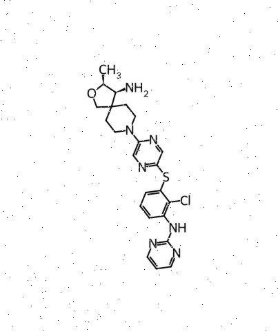 C[C@@H]1OCC2(CCN(c3cnc(Sc4cccc(Nc5ncccn5)c4Cl)cn3)CC2)[C@@H]1N